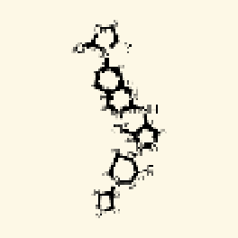 C[C@H]1COC(=O)N1c1ccc2cnc(Nc3cnn([C@H]4CCN(C5COC5)C[C@@H]4F)c3Cl)nc2c1